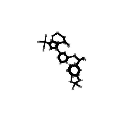 CC(Oc1cc(-n2nc(C(F)(F)F)c3c2C(Cl)CCC3)ccn1)c1ccc2c(c1)OC(F)(F)O2